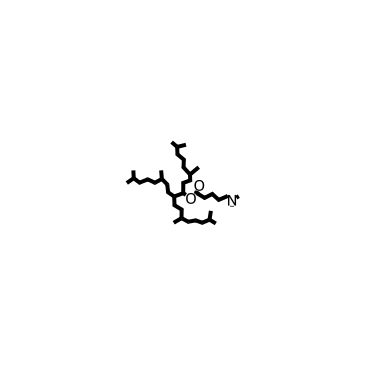 CC(C)CCCC(C)CCC(CCC(C)CCCC(C)C)C(CCC(C)CCCC(C)C)OC(=O)CCCCN(C)C